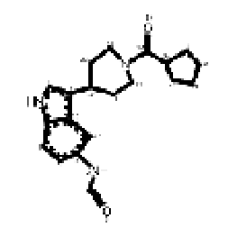 O=CNc1ccc2[nH]cc(C3CCN(C(=O)C4CCCC4)CC3)c2c1